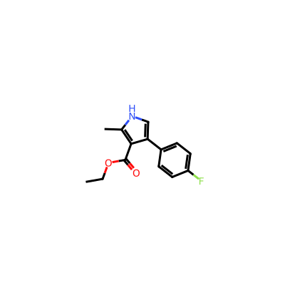 CCOC(=O)c1c(-c2ccc(F)cc2)c[nH]c1C